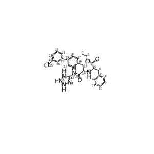 CCOC(=O)C(Cc1ccccc1)NC(Cc1ccc(-c2cccc(Cl)c2)cc1)C(=O)NC1=NNNN1